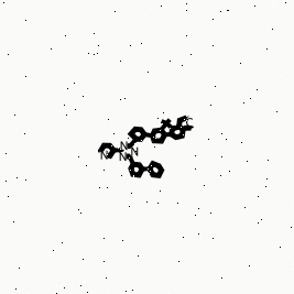 CC1(C)c2cc(-c3cccc(-c4nc(-c5cccnc5)nc(-c5cccc(-c6ccccc6)c5)n4)c3)ccc2-c2ccc3ccccc3c21